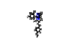 C=Cc1ccc(CCCCn2c(-c3c(C)cc(C)cc3C)nc(C)c2C)cc1